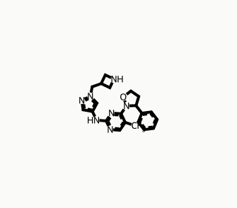 FC(F)(F)c1cnc(Nc2cnn(CC3CNC3)c2)nc1N1OCCC1c1ccccc1